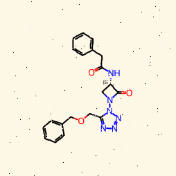 O=C(Cc1ccccc1)N[C@H]1CN(n2nnnc2COCc2ccccc2)C1=O